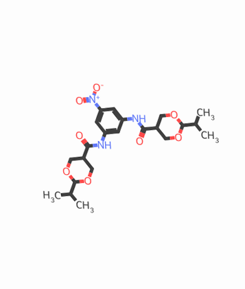 CC(C)C1OCC(C(=O)Nc2cc(NC(=O)C3COC(C(C)C)OC3)cc([N+](=O)[O-])c2)CO1